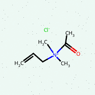 C=CC[N+](C)(C)C(C)=O.[Cl-]